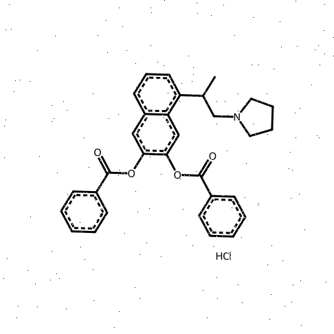 CC(CN1CCCC1)c1cccc2cc(OC(=O)c3ccccc3)c(OC(=O)c3ccccc3)cc12.Cl